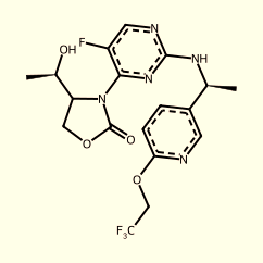 C[C@H](Nc1ncc(F)c(N2C(=O)OCC2[C@@H](C)O)n1)c1ccc(OCC(F)(F)F)nc1